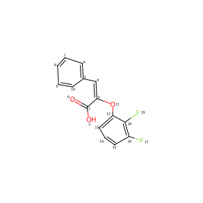 O=C(O)/C(=C\c1ccccc1)Oc1cccc(F)c1F